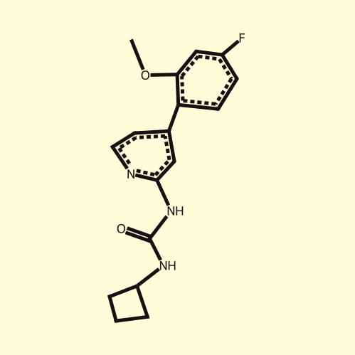 COc1cc(F)ccc1-c1ccnc(NC(=O)NC2CCC2)c1